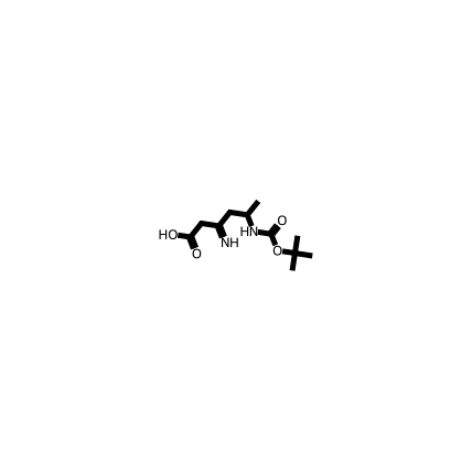 CC(CC(=N)CC(=O)O)NC(=O)OC(C)(C)C